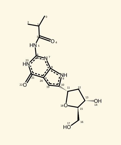 CC(C)C(=O)Nc1nc2[nH]c([C@@H]3C[C@H](O)[C@@H](CO)O3)cc2c(=O)[nH]1